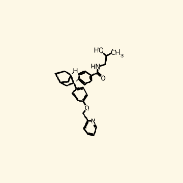 CC(O)CNC(=O)c1ccc([C@]2(c3ccc(OCc4ccccn4)cc3)CC3CC[C@@H]2C3)cc1